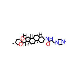 C[C@H]1CC[C@@]2(OC1)O[C@H]1C[C@@]3(C)[C@@H]4CC[C@@H]5C[C@H](NC(=O)CCN6CCN(C)CC6)CC[C@]5(C)[C@@]4(C)CC[C@]3(C)[C@H]1[C@@H]2C